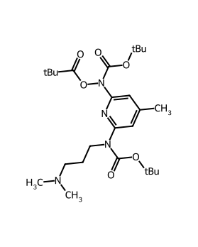 Cc1cc(N(CCCN(C)C)C(=O)OC(C)(C)C)nc(N(OC(=O)C(C)(C)C)C(=O)OC(C)(C)C)c1